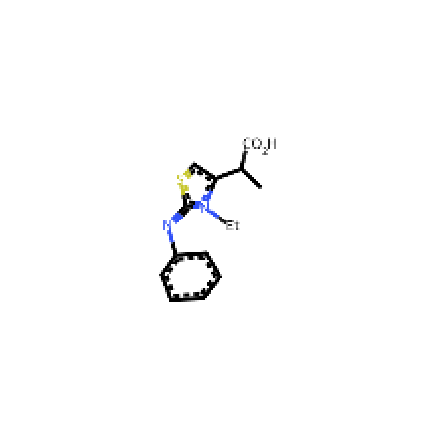 CCn1c(C(C)C(=O)O)cs/c1=N/c1ccccc1